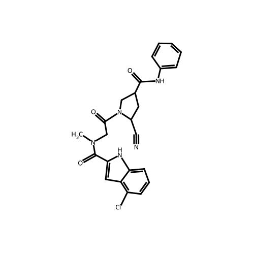 CN(CC(=O)N1CC(C(=O)Nc2ccccc2)CC1C#N)C(=O)c1cc2c(Cl)cccc2[nH]1